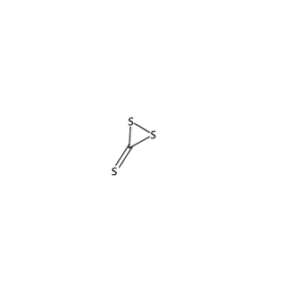 S=C1SS1